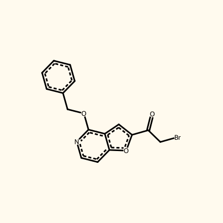 O=C(CBr)c1cc2c(OCc3ccccc3)nccc2o1